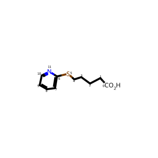 O=C(O)CCCCSc1ccccn1